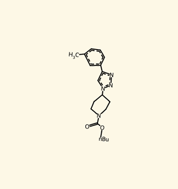 CCCCOC(=O)N1CCC(n2cc(-c3cccc(C)c3)nn2)CC1